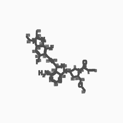 C=CC(=O)N1CC(n2nc(C#Cc3c(F)cc4c(nc(C)n4CC)c3F)c3c(N)ncnc32)C[C@@H]1COC